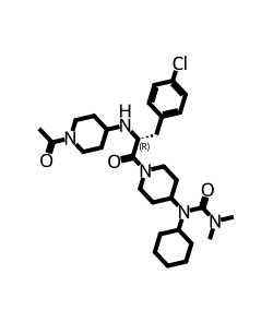 CC(=O)N1CCC(N[C@H](Cc2ccc(Cl)cc2)C(=O)N2CCC(N(C(=O)N(C)C)C3CCCCC3)CC2)CC1